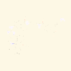 COC(=O)c1ccc(C(=O)NCCCNC(=O)c2ccc(Nc3ncc4c(n3)-c3ccc(Cl)cc3C(c3c(F)cccc3OC)=NC4)cc2OC)cc1C#CCN